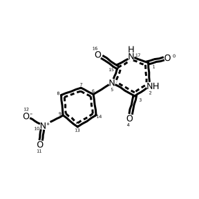 O=c1[nH]c(=O)n(-c2ccc([N+](=O)[O-])cc2)c(=O)[nH]1